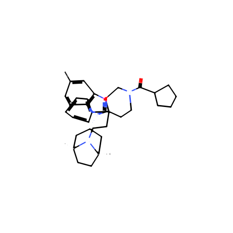 O=C(C1CCCC1)N1CCC(CCN2[C@@H]3CC[C@H]2C[C@H](n2cnc4cc(C(F)(F)F)ccc42)C3)(c2ccccc2)CC1